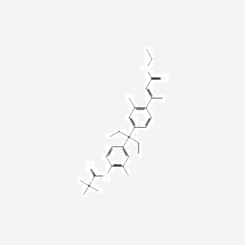 CCOC(=O)C=C(C)c1ccc(C(CC)(CC)c2ccc(OC(=O)C(C)(C)C)c(C)c2)cc1C